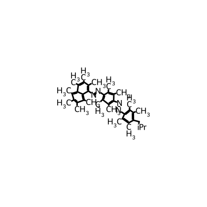 Cc1c(C)c(N=Nc2c(C)c(C)c(N=Nc3c(C)c(C)c(C)c4c(C)c(C)c(C)c(C)c34)c(C)c2C)c(C)c(C)c1CC(C)C